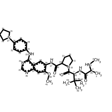 CN[C@@H](C)C(=O)N[C@H](C(=O)N1CCCC1C(=O)Nc1cc2c(Nc3ccc(N4CCCC4)cc3)ncnc2cc1OC)C(C)(C)C